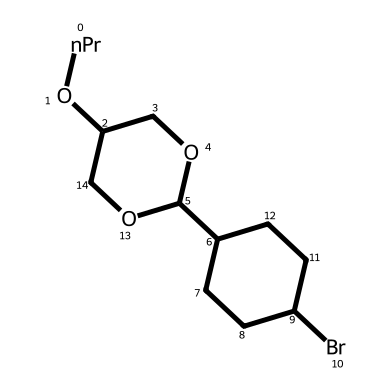 CCCOC1COC(C2CCC(Br)CC2)OC1